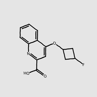 O=C(O)c1cc(OC2CC(F)C2)c2ccccc2n1